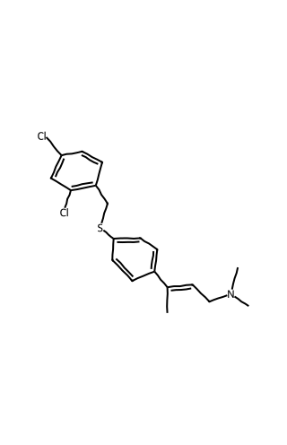 CC(=CCN(C)C)c1ccc(SCc2ccc(Cl)cc2Cl)cc1